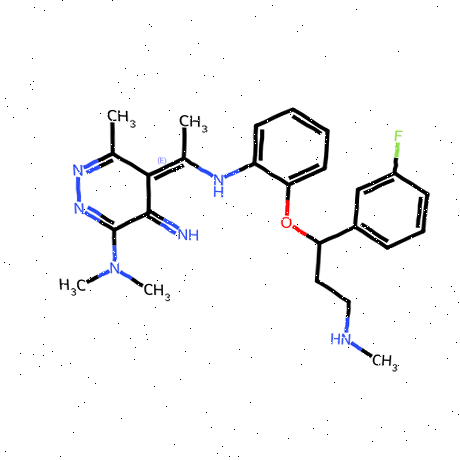 CNCCC(Oc1ccccc1N/C(C)=C1\C(=N)C(N(C)C)=NN=C1C)c1cccc(F)c1